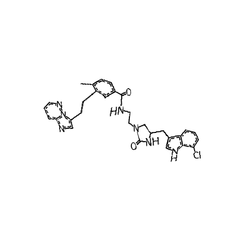 Cc1ccc(C(=O)NCCN2CC(Cc3c[nH]c4c(Cl)cccc34)NC2=O)cc1CCc1cnc2cccnn12